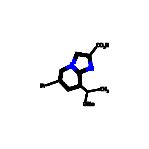 COC(C)c1cc(C(C)C)cn2cc(C(=O)O)nc12